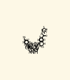 C=C(CN1CCCC1)c1ccc2c(c1)CCC[C@H]2NC(=O)C[C@@H]1C(=O)NCCN1S(=O)(=O)c1ccc(C)cc1